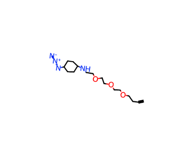 C#CCCOCCOCCOCCNC1CCC(N=[N+]=[N-])CC1